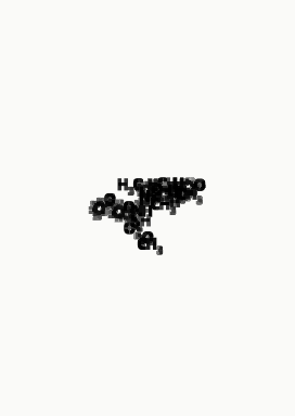 CC(=O)CCC(=O)N[C@@H](Cc1ccc(C(=O)c2ccccc2)cc1)C(=O)NCCN1C[C@@H](C)C[C@H]2OC3(CC[C@@H]4C(=C3C)C[C@H]3[C@H]4CC=C4CC(=O)CC[C@@]43C)[C@H](C)[C@@H]21